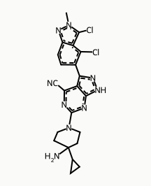 Cn1nc2ccc(-c3n[nH]c4nc(N5CCC(N)(C6CC6)CC5)nc(C#N)c34)c(Cl)c2c1Cl